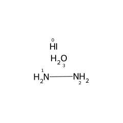 I.NN.O